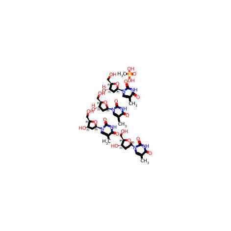 CP(=O)(O)O.Cc1cn([C@H]2C[C@H](O)[C@@H](CO)O2)c(=O)[nH]c1=O.Cc1cn([C@H]2C[C@H](O)[C@@H](CO)O2)c(=O)[nH]c1=O.Cc1cn([C@H]2C[C@H](O)[C@@H](CO)O2)c(=O)[nH]c1=O.Cc1cn([C@H]2C[C@H](O)[C@@H](CO)O2)c(=O)[nH]c1=O